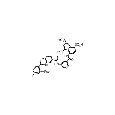 CNc1cc(C)ccc1C(=O)Nc1cc(C(=O)Nc2cccc(C(=O)Nc3ccc(S(=O)(=O)O)c4cc(S(=O)(=O)O)cc(S(=O)(=O)O)c34)c2)ccc1C